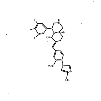 COc1cc(/C=C2\CC[C@H]3CNCC(c4cc(F)c(F)c(F)c4)N3C2=O)ccc1-n1cnc(C)c1